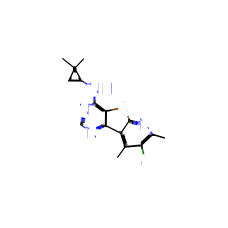 Cc1nc2sc3c(NC4CC4(C)C)ncnc3c2c(C)c1Cl